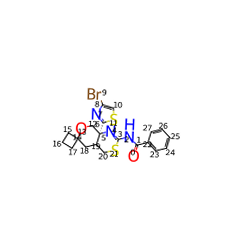 O=C(NC1=N[C@]2(c3nc(Br)cs3)COC3(CCC3)CC2CS1)c1ccccc1